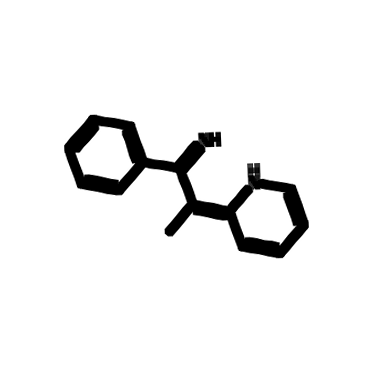 C/C(C(=N)c1ccccc1)=C1\C=CC=CN1